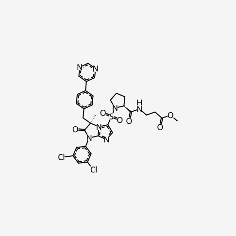 COC(=O)CCNC(=O)[C@@H]1CCCN1S(=O)(=O)c1cnc2n1[C@](C)(Cc1ccc(-c3cncnc3)cc1)C(=O)N2c1cc(Cl)cc(Cl)c1